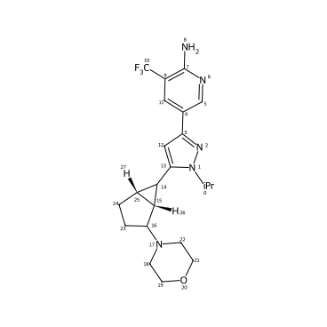 CC(C)n1nc(-c2cnc(N)c(C(F)(F)F)c2)cc1C1[C@@H]2C(N3CCOCC3)CC[C@H]12